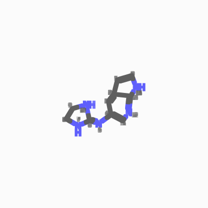 c1cc2cc(N=C3NCCN3)cnc2[nH]1